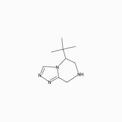 CC(C)(C)C1CNCc2nncn21